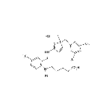 CCN(CCCCC(=O)O)c1ccc(C(F)(F)F)cc1CNC1=N[N+](C)(Cc2cc(C(F)(F)F)cc(C(F)(F)F)c2)C=C1.Cl